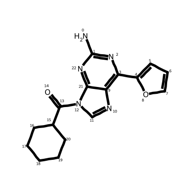 Nc1nc(-c2ccco2)c2ncn(C(=O)C3CCCCC3)c2n1